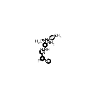 C=CN(/N=C(\N)N1CCN(C)CC1)c1ccc(Nc2nccc(-c3cc(F)cc(N4CC=CCC4)c3)n2)cc1